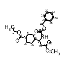 CCOC(=O)N1CCC(C(CC(=O)OC)NC(=O)OCc2ccccc2)CC1